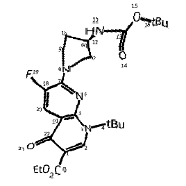 CCOC(=O)c1cn(C(C)(C)C)c2nc(N3CC[C@@H](NC(=O)OC(C)(C)C)C3)c(F)cc2c1=O